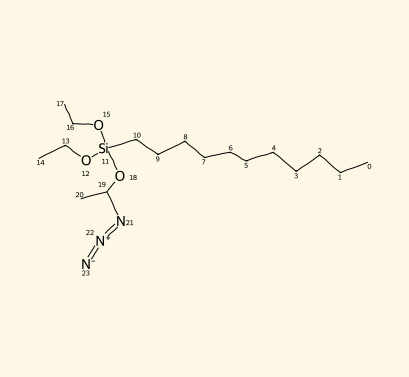 CCCCCCCCCCC[Si](OCC)(OCC)OC(C)N=[N+]=[N-]